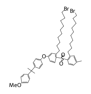 COc1ccc(C(C)(C)c2ccc(Oc3ccc(S(=O)(=O)c4ccc(C)cc4CCCCCCCCCCBr)c(CCCCCCCCCCBr)c3)cc2)cc1